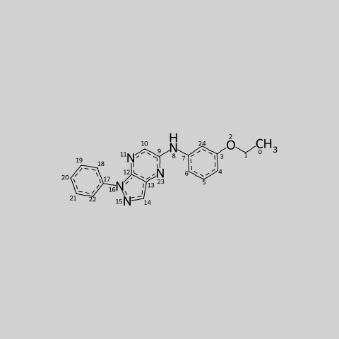 CCOc1cccc(Nc2cnc3c(cnn3-c3ccccc3)n2)c1